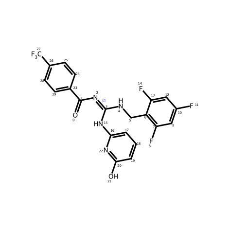 O=C(/N=C(/NCc1c(F)cc(F)cc1F)Nc1cccc(O)n1)c1ccc(C(F)(F)F)cc1